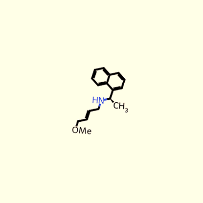 COC/C=C/CN[C@H](C)c1cccc2ccccc12